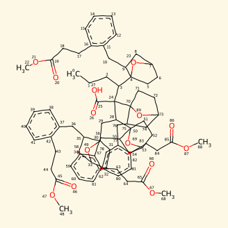 CCCC(C12CCC(CC1Cc1ccccc1CCC(=O)OC)O2)C(C(=O)O)(C(CC12CCC(CC1Cc1ccccc1CCC(=O)OC)O2)C12CCC(CC1Cc1ccccc1CCC(=O)OC)O2)C12CCC(CC1Cc1ccccc1CCC(=O)OC)O2